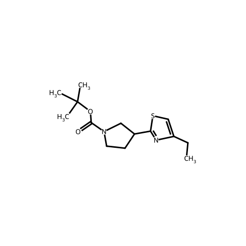 CCc1csc(C2CCN(C(=O)OC(C)(C)C)C2)n1